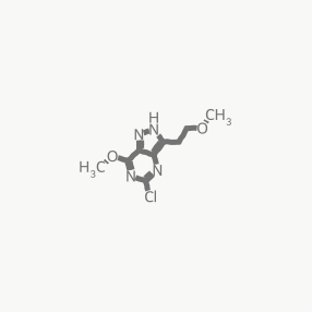 COCCc1[nH]nc2c(OC)nc(Cl)nc12